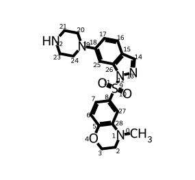 CN1CCOc2ccc(S(=O)(=O)n3ncc4ccc(N5CCNCC5)cc43)cc21